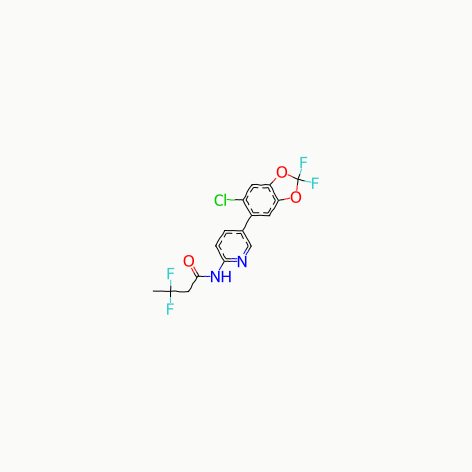 CC(F)(F)CC(=O)Nc1ccc(-c2cc3c(cc2Cl)OC(F)(F)O3)cn1